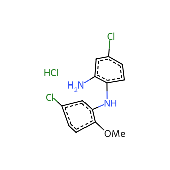 COc1ccc(Cl)cc1Nc1ccc(Cl)cc1N.Cl